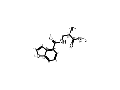 CC(C)[C@H](CNC(=O)c1cccc2occc12)C(N)=O